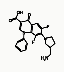 NCC1CCN(c2c(F)cc3c(=O)c(C(=O)O)cn(-c4ccccc4)c3c2F)C1